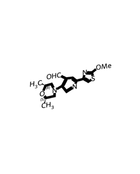 COc1nc(-c2cc(C=O)c(N3C[C@@H](C)O[C@@H](C)C3)cn2)cs1